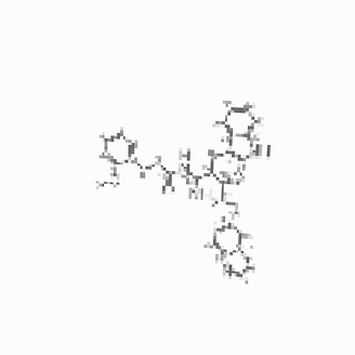 COc1ccccc1CCC(=O)NC(N)C(Cc1c[nH]c2ccccc12)C(=O)COc1ccc2ncsc2c1